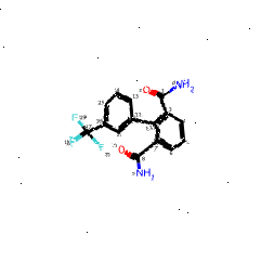 NC(=O)c1cccc(C(N)=O)c1-c1cccc(C(F)(F)F)c1